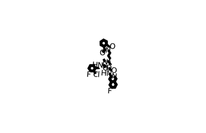 CN(C(=O)NCc1cccc(F)c1Cl)[C@@H](CCCN1C(=O)c2ccccc2C1=O)COC(=O)Nc1cc2cc(F)ccc2cn1